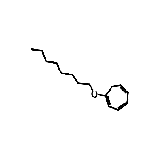 CCCCCCCCOC1=CC=CC=CC1